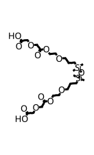 C[Si](C)(CCCOCCOC(=O)COCC(=O)O)O[Si](C)(C)CCCOCCOC(=O)COCC(=O)O